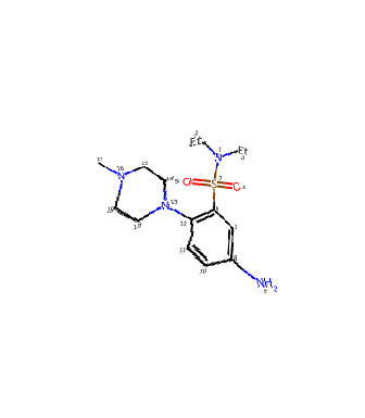 CCN(CC)S(=O)(=O)c1cc(N)ccc1N1CCN(C)CC1